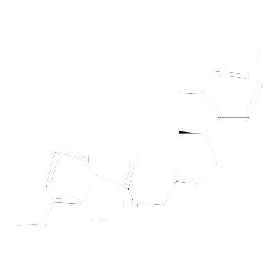 COc1ccnc(C(=O)N[C@@H](C)C(=O)O[C@@H](C)[C@@H](C)c2ccc(C)cc2C)c1O